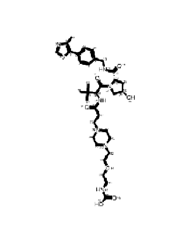 Cc1ncsc1-c1ccc(CNC(=O)[C@@H]2C[C@@H](O)CN2C(=O)[C@@H](NC(=O)CCN2CCN(CCOCCNC(=O)O)CC2)C(C)(C)C)cc1